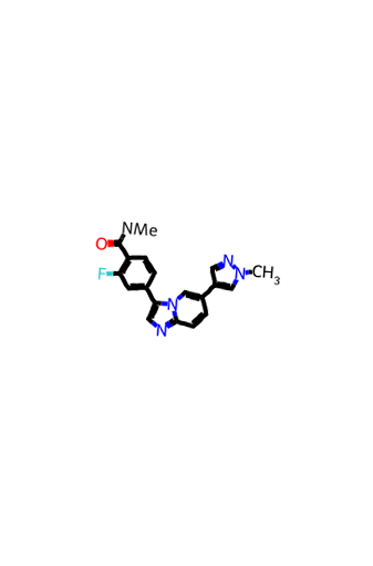 CNC(=O)c1ccc(-c2cnc3ccc(-c4cnn(C)c4)cn23)cc1F